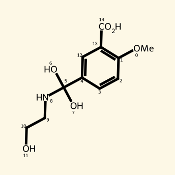 COc1ccc(C(O)(O)NCCO)cc1C(=O)O